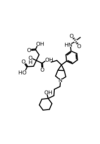 CCC1(c2cccc(NS(C)(=O)=O)c2)C2CN(CCCC3(O)CCCCC3)CC21.O=C(O)CC(O)(CC(=O)O)C(=O)O